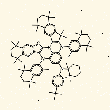 Cc1cc2c(cc1N1C3=C(B4c5oc6cc7c(cc6c5N(c5cc6c(cc5C)C(C)(C)CCC6(C)C)c5cc(N6c8ccc(C(C)(C)C)cc8C8(C)CCCCC68C)cc1c54)C(C)(C)CCC7(C)C)c1cc4c(cc1C3(C)C)C(C)(C)CCC4(C)C)C(C)(C)CCC2(C)C